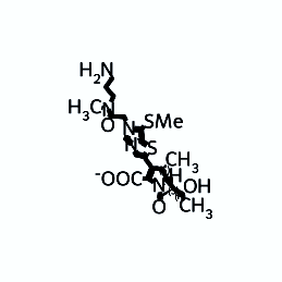 CSc1c2sc(C3=C(C(=O)[O-])N4C(=O)[C@H]([C@@H](C)O)[C@H]4[C@H]3C)c[n+]2cn1CC(=O)N(C)CCCN